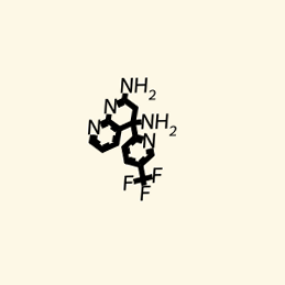 NC1=Nc2ncccc2C(N)(c2ccc(C(F)(F)F)cn2)C1